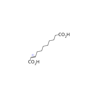 O=C(O)/C=C/CCCCCCCC(=O)O